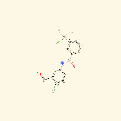 O=Cc1cc(NC(=O)c2cccc(C(F)(F)F)c2)ccc1Cl